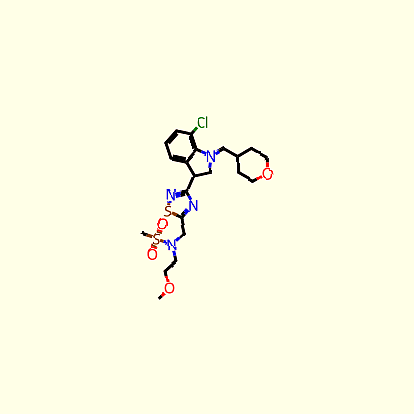 COCCN(Cc1nc(C2CN(CC3CCOCC3)c3c(Cl)cccc32)ns1)S(C)(=O)=O